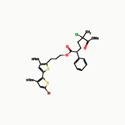 CCCCCCc1cc(-c2sc(Br)cc2CCCCCC)sc1CCCOC(=O)C(CCC(C)(Cl)C(=O)OC)c1ccccc1